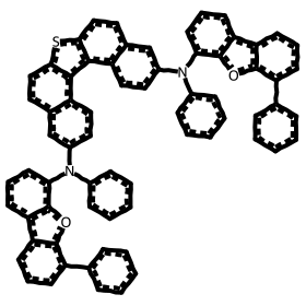 c1ccc(-c2cccc3c2oc2c(N(c4ccccc4)c4ccc5c(ccc6sc7ccc8cc(N(c9ccccc9)c9cccc%10c9oc9c(-c%11ccccc%11)cccc9%10)ccc8c7c65)c4)cccc23)cc1